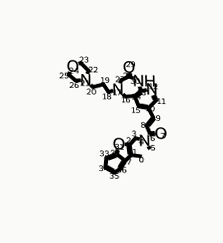 Cc1c(CN(C)C(=O)C=Cc2cnc3c(c2)CN(CCCN2CCOCC2)CC(=O)N3)oc2ccccc12